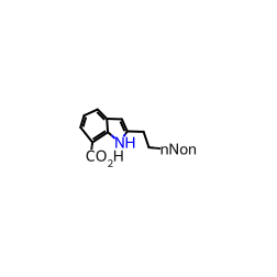 CCCCCCCCCCCc1cc2cccc(C(=O)O)c2[nH]1